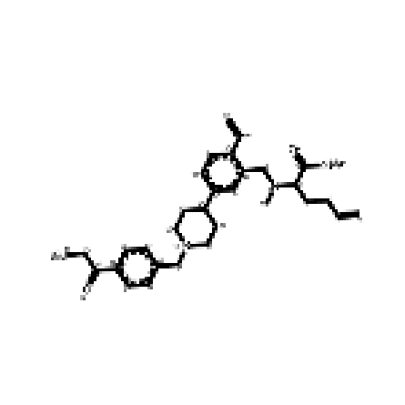 C=CCCC(C(=O)NC)N(C)Cc1cc(C2CCN(Cc3ccc(C(=O)CC(C)(C)C)cc3)CC2)ccc1C=C